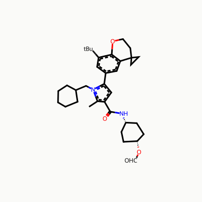 Cc1c(C(=O)N[C@H]2CC[C@@H](OC=O)CC2)cc(-c2cc(C(C)(C)C)c3c(c2)C2(CCO3)CC2)n1CC1CCCCC1